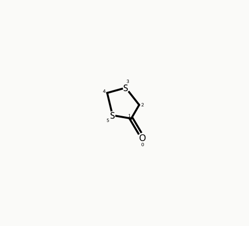 O=C1CSCS1